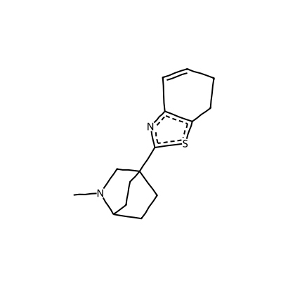 CN1CC2(c3nc4c(s3)CCC=C4)CCC1CC2